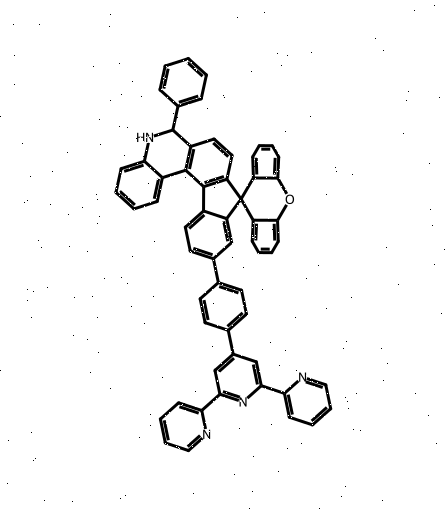 c1ccc(C2Nc3ccccc3-c3c2ccc2c3-c3ccc(-c4ccc(-c5cc(-c6ccccn6)nc(-c6ccccn6)c5)cc4)cc3C23c2ccccc2Oc2ccccc23)cc1